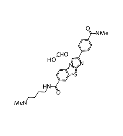 CNCCCCNC(=O)c1ccc2c(c1)sc1nc(-c3ccc(C(=O)NC)cc3)cn12.O=CO